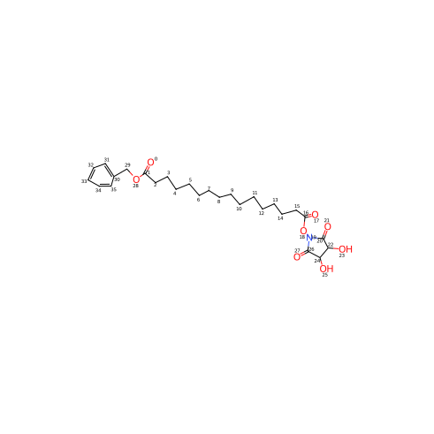 O=C(CCCCCCCCCCCCCCC(=O)ON1C(=O)C(O)C(O)C1=O)OCc1ccccc1